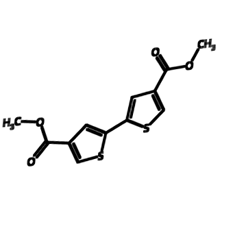 COC(=O)c1csc(-c2cc(C(=O)OC)cs2)c1